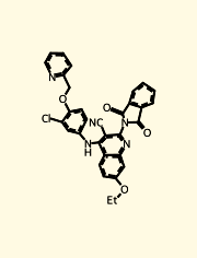 CCOc1ccc2c(Nc3ccc(OCc4ccccn4)c(Cl)c3)c(C#N)c(N3C(=O)c4ccccc4C3=O)nc2c1